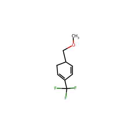 COCC1C=CC(C(F)(F)F)=CC1